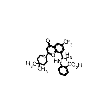 C[C@@H](Nc1ccccc1C(=O)O)c1cc(C(F)(F)F)cc2c(=O)cc(N3CCC(C)(C)CC3)oc12